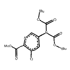 COC(=O)c1ncc(N(C(=O)OC(C)(C)C)C(=O)OC(C)(C)C)cc1Cl